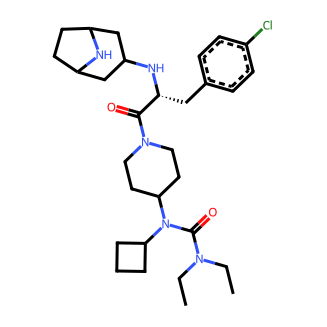 CCN(CC)C(=O)N(C1CCC1)C1CCN(C(=O)[C@@H](Cc2ccc(Cl)cc2)NC2CC3CCC(C2)N3)CC1